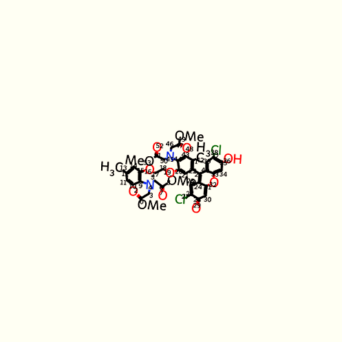 COC(=O)CN(CC(=O)OC)c1ccc(C)cc1OCCOc1cc(-c2c3cc(Cl)c(=O)cc-3oc3cc(O)c(Cl)cc23)c(C)cc1N(CC(=O)OC)CC(=O)OC